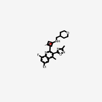 CCc1cc(F)c2nc(N3CC4(NCC5CCOCC5)CC3C4)c(-c3nc(C)no3)c(C)c2c1